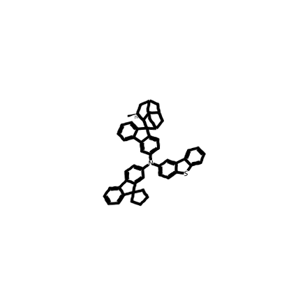 C[C@H]1CC2CCC3CC(C2)CC1C31c2ccccc2-c2cc(N(c3ccc4c(c3)C3(CCCC3)c3ccccc3-4)c3ccc4sc5ccccc5c4c3)ccc21